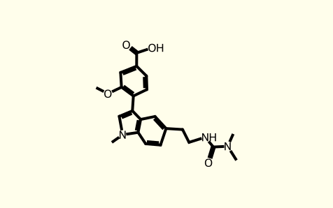 COc1cc(C(=O)O)ccc1-c1cn(C)c2ccc(CCNC(=O)N(C)C)cc12